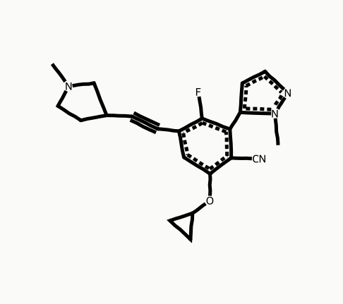 CN1CCC(C#Cc2cc(OC3CC3)c(C#N)c(-c3ccnn3C)c2F)C1